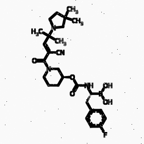 CC1(C)CCN(C(C)(C)/C=C(\C#N)C(=O)N2CCC[C@H](OC(=O)N[C@@H](Cc3ccc(F)cc3)B(O)O)C2)C1